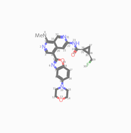 CNc1ncc(-c2nc3cc(N4CCOCC4)ccc3o2)c2cc(NC(=O)[C@H]3C[C@H]3CF)ncc12